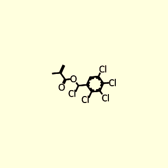 C=C(C)C(=O)OC(Cl)c1cc(Cl)c(Cl)c(Cl)c1Cl